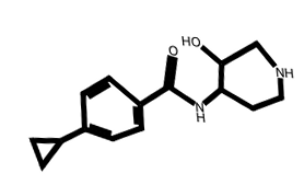 O=C(NC1CCNCC1O)c1ccc(C2CC2)cc1